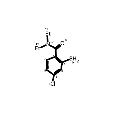 Bc1cc(Cl)ccc1C(=O)N(CC)CC